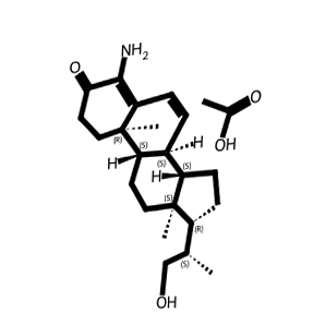 CC(=O)O.C[C@H](CO)[C@H]1CC[C@H]2[C@@H]3C=CC4=C(N)C(=O)CC[C@]4(C)[C@H]3CC[C@]12C